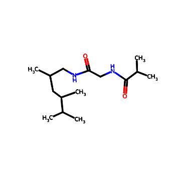 CC(CNC(=O)CNC(=O)C(C)C)CC(C)C(C)C